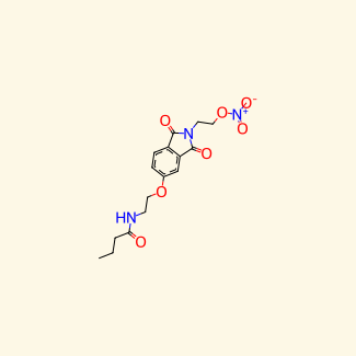 CCCC(=O)NCCOc1ccc2c(c1)C(=O)N(CCO[N+](=O)[O-])C2=O